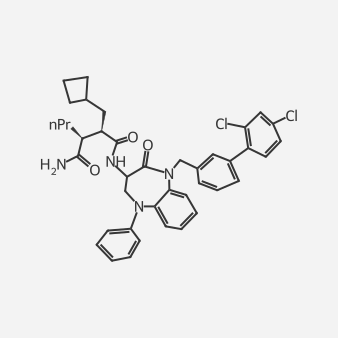 CCC[C@H](C(N)=O)[C@@H](CC1CCC1)C(=O)NC1CN(c2ccccc2)c2ccccc2N(Cc2cccc(-c3ccc(Cl)cc3Cl)c2)C1=O